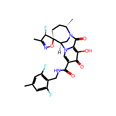 CC1=NO[C@@]2(CC[C@H](C)N3C[C@H]2n2cc(C(=O)NCc4c(F)cc(C)cc4F)c(=O)c(O)c2C3=O)[C@@H]1F